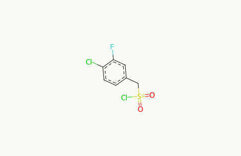 O=S(=O)(Cl)Cc1ccc(Cl)c(F)c1